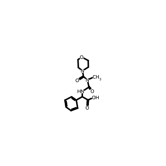 CN(C(=O)NC(C(=O)O)c1ccccc1)C(=O)N1CCOCC1